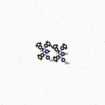 CCc1cc2c3c(c1)N(c1ccc4c(c1)C(C)(C)CCC4(C)C)c1c(sc4cc5c(cc14)C(C)(C)CCC5(C)CCC1(C)CCC(C)(C)c4ccc(N5c6cc(C)cc7c6B(c6cc8c(cc6N7c6ccc(C(C)(C)C)cc6)C(C)(C)CCC8(C)C)c6sc7cc8c(cc7c65)C(C)(C)CCC8(C)C)cc41)B3c1cc3c(cc1N2c1ccc(C(C)(C)C)cc1)C(C)(C)CCC3(C)C